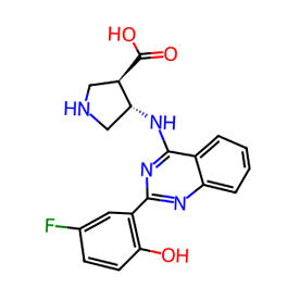 O=C(O)[C@@H]1CNC[C@H]1Nc1nc(-c2cc(F)ccc2O)nc2ccccc12